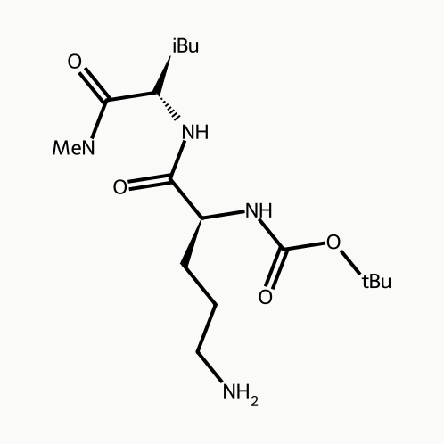 CC[C@H](C)[C@H](NC(=O)[C@H](CCCN)NC(=O)OC(C)(C)C)C(=O)NC